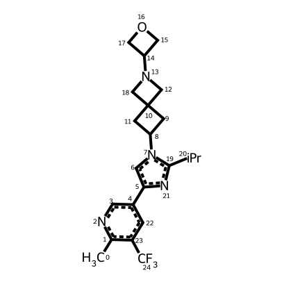 Cc1ncc(-c2cn(C3CC4(C3)CN(C3COC3)C4)c(C(C)C)n2)cc1C(F)(F)F